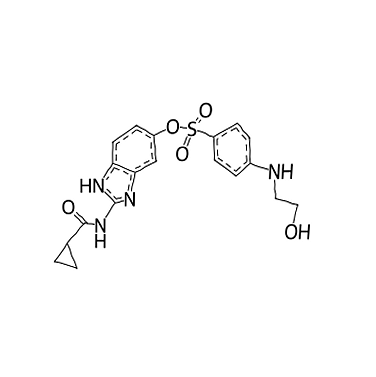 O=C(Nc1nc2cc(OS(=O)(=O)c3ccc(NCCO)cc3)ccc2[nH]1)C1CC1